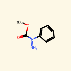 CC(C)(C)OC(=O)N(N)c1ccccc1